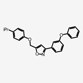 CC(C)c1ccc(OCc2cc(-c3cccc(Oc4ccccc4)c3)no2)cc1